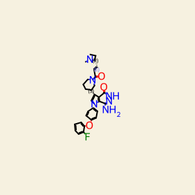 CN1CC[C@@H]1/C=C/C(=O)N1CCC[C@@H](c2cn(-c3ccc(Oc4ccccc4F)cc3)c3c(N)n[nH]c(=O)c23)C1